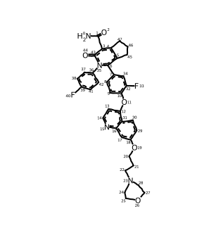 NC(=O)c1c2c(c(-c3ccc(Oc4ccnc5cc(OCCCN6CCOCC6)ccc45)c(F)c3)n(-c3ccc(F)cc3)c1=O)CCC2